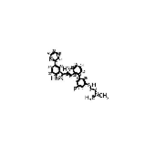 CN(C)CCNc1cc(F)cc(-c2cccc3[nH]c(-c4n[nH]c5ccc(-c6cnccn6)cc45)cc23)c1